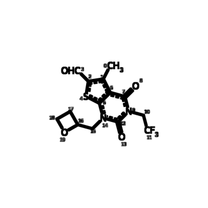 Cc1c(C=O)sc2c1c(=O)n(CC(F)(F)F)c(=O)n2CC1CCO1